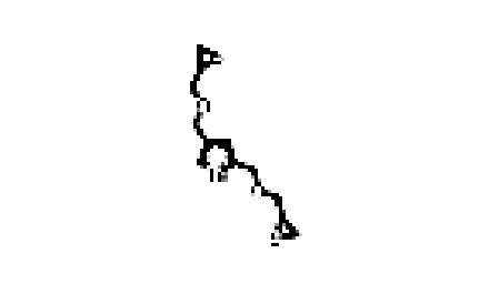 c1[te]c(COCC2CS2)cc1COCC1CS1